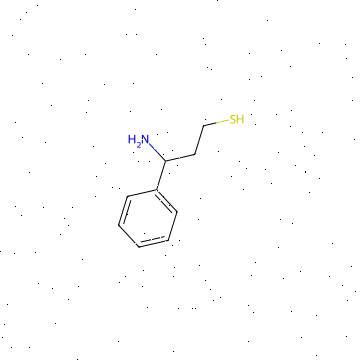 NC(CCS)c1ccccc1